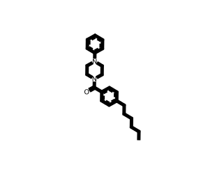 CCCCCCc1ccc(C(=O)N2CCN(c3cc[c]cc3)CC2)cc1